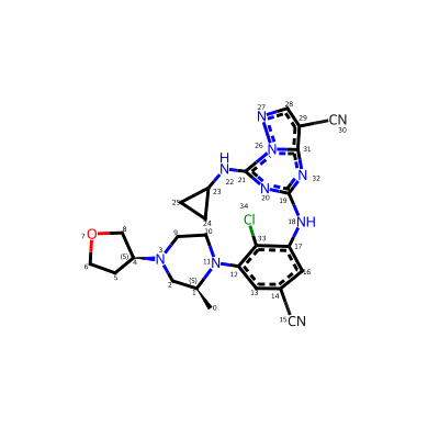 C[C@H]1CN([C@H]2CCOC2)CCN1c1cc(C#N)cc(Nc2nc(NC3CC3)n3ncc(C#N)c3n2)c1Cl